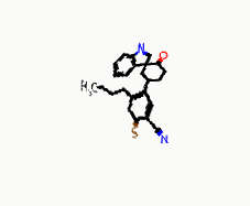 CCCCC1=C(C2CCC(=O)C3(C=Nc4ccccc43)C2)C=C(C#N)C(=S)C1